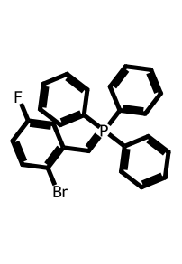 Fc1ccc(Br)c(C=P(c2ccccc2)(c2ccccc2)c2ccccc2)c1